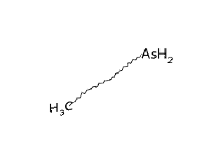 CCCCCCCCCCCCCCCCCCCCCCCCCCCCCC[AsH2]